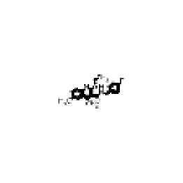 CCSc1nc2ccc(C)cc2c(C)c1C(=O)NCc1ccc(F)cc1